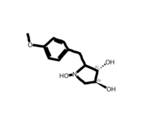 COc1ccc(CC2[C@H](O)[C@@H](O)CN2O)cc1